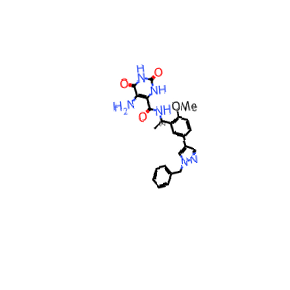 COc1ccc(-c2cnn(Cc3ccccc3)c2)cc1[C@@H](C)NC(=O)c1[nH]c(=O)[nH]c(=O)c1N